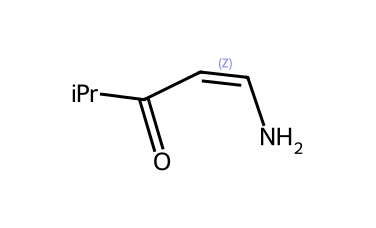 CC(C)C(=O)/C=C\N